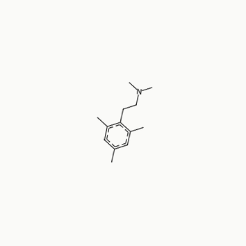 Cc1cc(C)c(CCN(C)C)c(C)c1